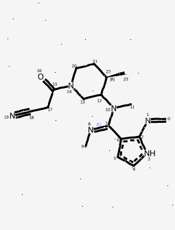 C=Nc1[nH]ccc1/C(=N\C)N(C)C1CN(C(=O)CC#N)CC[C@H]1C